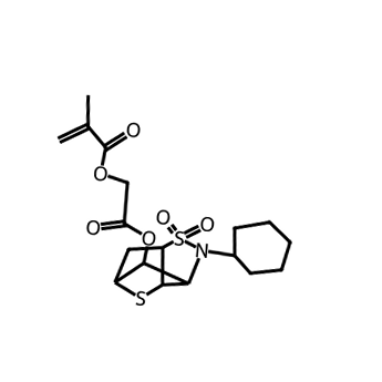 C=C(C)C(=O)OCC(=O)OC1C2CC3C(S2)C1N(C1CCCCC1)S3(=O)=O